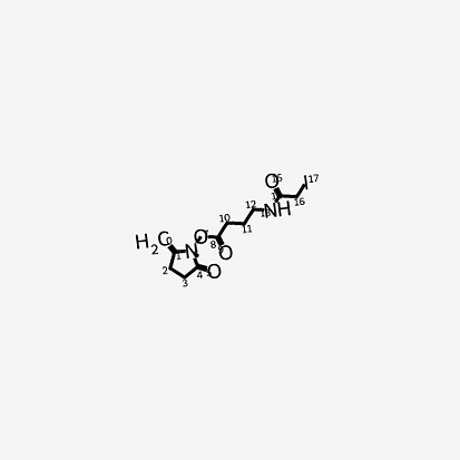 C=C1CCC(=O)N1OC(=O)CCCNC(=O)CI